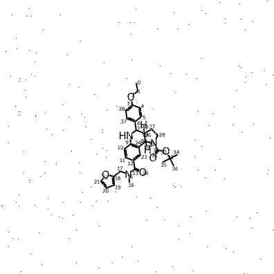 CCOc1ccc(C2Nc3ccc(C(=O)N(C)Cc4ccco4)cc3[C@@H]3[C@H]2CCN3C(=O)OC(C)(C)C)cc1